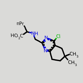 CCCC(NCc1nc(Cl)c2c(n1)CCC(C)(C)C2)C(=O)O